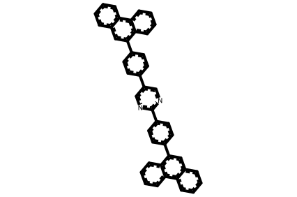 c1ccc2c(c1)cc(-c1ccc(-c3cnc(-c4ccc(-c5cc6ccccc6c6ccccc56)cc4)nc3)cc1)c1ccccc12